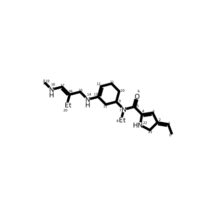 C/C=C1/C=C(C(=O)N(CC)C2CCC=C(NC/C(=C/NI)CC)C2)NC1